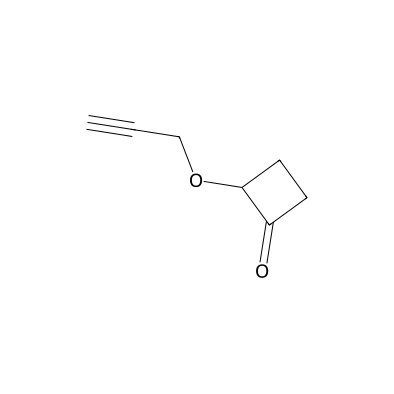 C#CCOC1CCC1=O